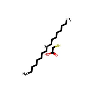 CCCCCCC[CH2][Sn][CH2]CCCCCCC.O=C(O)CS